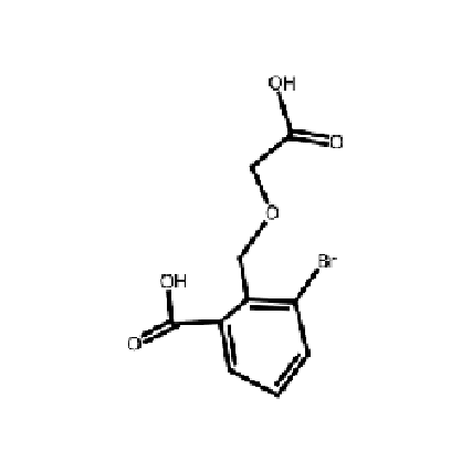 O=C(O)COCc1c(Br)cccc1C(=O)O